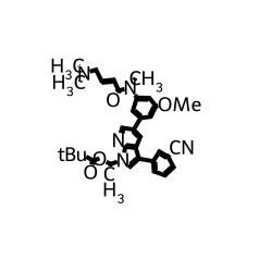 COc1cc(-c2cnc3c(c2)c(-c2cccc(C#N)c2)cn3C(C)OC(=O)C(C)(C)C)cc(N(C)C(=O)C=CCN(C)C)c1